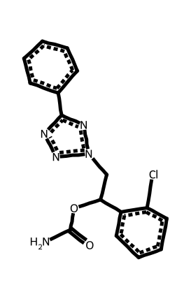 NC(=O)OC(Cn1nnc(-c2ccccc2)n1)c1ccccc1Cl